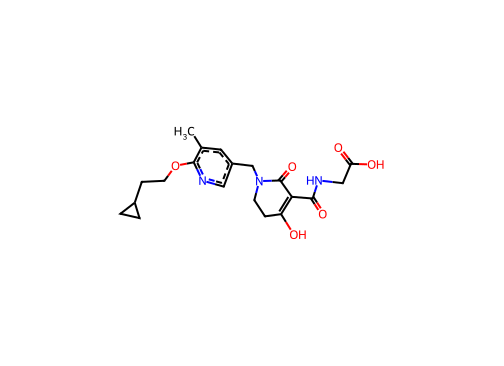 Cc1cc(CN2CCC(O)=C(C(=O)NCC(=O)O)C2=O)cnc1OCCC1CC1